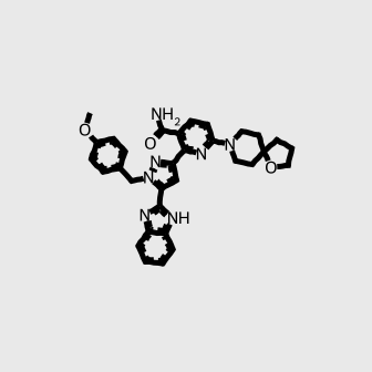 COc1ccc(Cn2nc(-c3nc(N4CCC5(CCCO5)CC4)ccc3C(N)=O)cc2-c2nc3ccccc3[nH]2)cc1